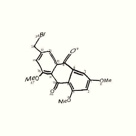 COc1cc(OC)c2c(c1)C(=O)c1cc(CBr)cc(OC)c1C2=O